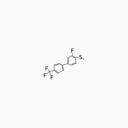 CSc1ccc(-c2ccc(C(F)(F)F)cc2)cc1F